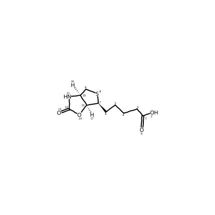 O=C(O)CCCC[C@@H]1SC[C@@H]2NC(=O)O[C@@H]21